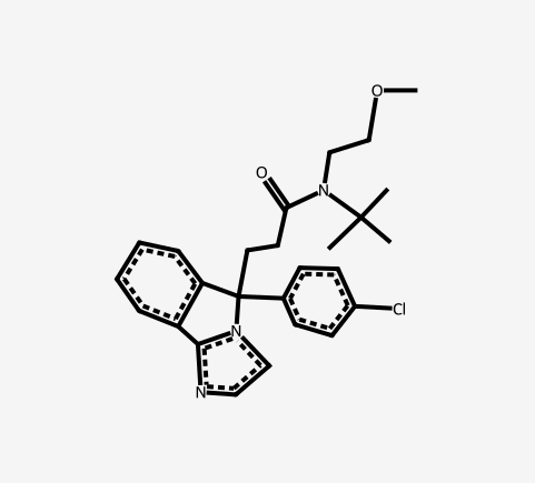 COCCN(C(=O)CCC1(c2ccc(Cl)cc2)c2ccccc2-c2nccn21)C(C)(C)C